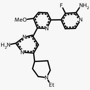 CCN1CCC(c2cc(-c3nc(-c4ccnc(N)c4F)ccc3OC)nc(N)n2)CC1